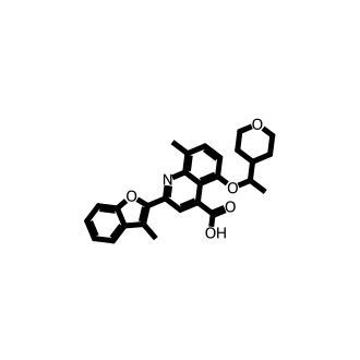 Cc1c(-c2cc(C(=O)O)c3c(OC(C)C4CCOCC4)ccc(C)c3n2)oc2ccccc12